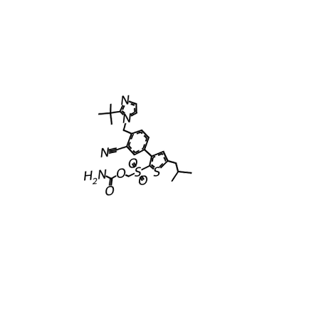 CC(C)Cc1cc(-c2ccc(Cn3ccnc3C(C)(C)C)c(C#N)c2)c(S(=O)(=O)COC(N)=O)s1